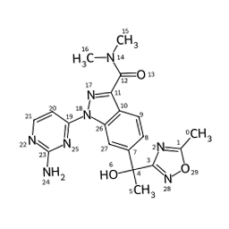 Cc1nc(C(C)(O)c2ccc3c(C(=O)N(C)C)nn(-c4ccnc(N)n4)c3c2)no1